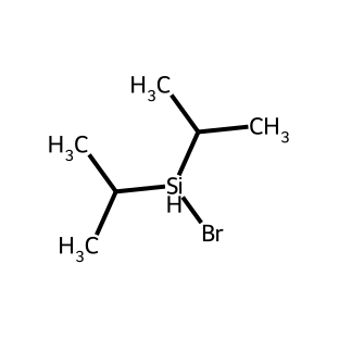 CC(C)[SiH](Br)C(C)C